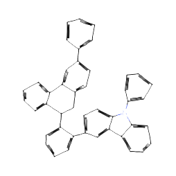 c1ccc(-c2ccc3c(c2)-c2ccccc2C(c2ccccc2-c2ccc4c(c2)c2ccccc2n4-c2ccccc2)C3)cc1